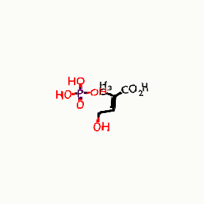 CC(=CCO)C(=O)O.O=P(O)(O)O